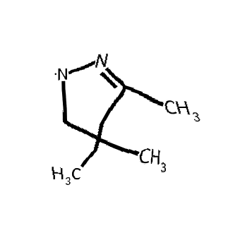 CC1=N[N]CC1(C)C